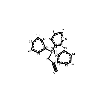 C#CC[PH](c1ccccc1)(c1ccccc1)c1ccccc1